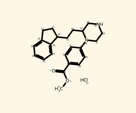 COC(=O)c1ccc(N2CCNCC2CCC2CCc3ccccc32)cc1.Cl